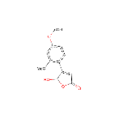 CCCCCCCCOc1ccc(C2=CC(=O)OC2O)c(OC)c1